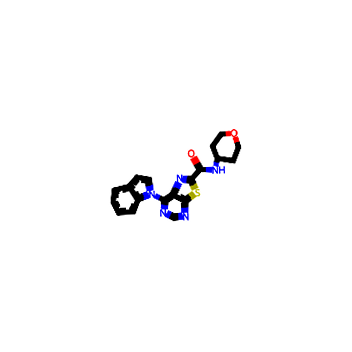 O=C(NC1CCOCC1)c1nc2c(-n3ccc4ccccc43)ncnc2s1